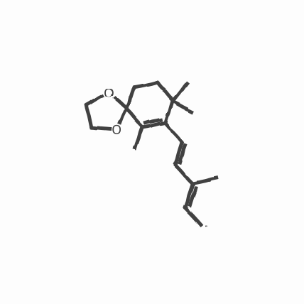 [CH2]/C=C(C)/C=C/C1=C(C)C2(CCC1(C)C)OCCO2